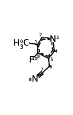 Cc1cncc(CC#N)c1F